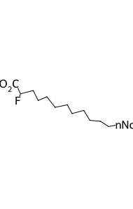 CCCCCCCCCCCCCCCCCCCC(F)C(=O)O